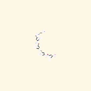 CN(C)CCCN(C)C(=O)c1cc(N(C)C(=O)c2cc(N(C)C(=O)c3cc(N(C)C(=O)c4cc([N+](=O)[O-])c[nH]4)c[nH]3)c[nH]2)c[nH]1